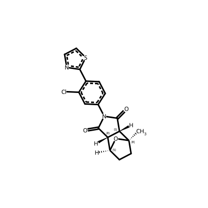 C[C@]12CC[C@H](O1)[C@@H]1C(=O)N(c3ccc(-c4nccs4)c(Cl)c3)C(=O)[C@@H]12